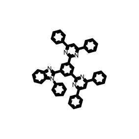 c1ccc(-c2cc(-c3ccccc3)nc(-c3cc(-c4nc(-c5ccccc5)cc(-c5ccccc5)n4)cc(-c4nc5ccccc5n4-c4ccccc4)c3)n2)cc1